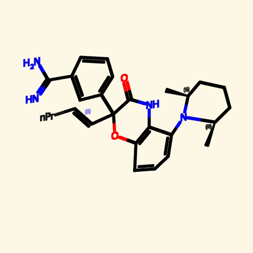 CCC/C=C/C1(c2cccc(C(=N)N)c2)Oc2cccc(N3[C@H](C)CCC[C@@H]3C)c2NC1=O